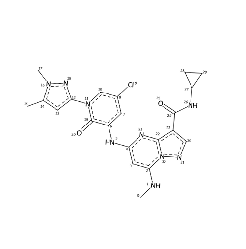 CNc1cc(Nc2cc(Cl)cn(-c3cc(C)n(C)n3)c2=O)nc2c(C(=O)NC3CC3)cnn12